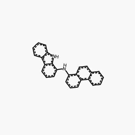 c1ccc2c(c1)ccc1c(Nc3cccc4c3[nH]c3ccccc34)cccc12